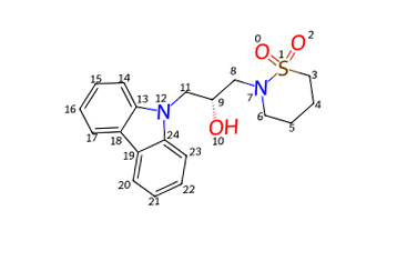 O=S1(=O)CCCCN1C[C@H](O)Cn1c2ccccc2c2ccccc21